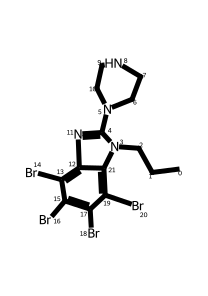 CCCn1c(N2CCNCC2)nc2c(Br)c(Br)c(Br)c(Br)c21